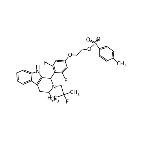 Cc1ccc(S(=O)(=O)OCCOc2cc(F)c(C3c4[nH]c5ccccc5c4CC(C(F)(F)F)N3CC(C)(C)F)c(F)c2)cc1